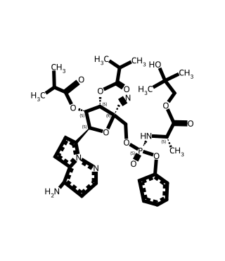 CC(C)C(=O)O[C@H]1[C@H](c2ccc3c(N)ccnn23)O[C@](C#N)(CO[P@@](=O)(N[C@@H](C)C(=O)OCC(C)(C)O)Oc2ccccc2)[C@H]1OC(=O)C(C)C